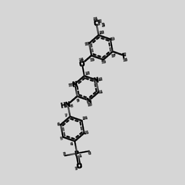 CP(C)(=O)c1ccc(Nc2ncnc(Oc3cc(F)cc(C(F)(F)F)c3)n2)cc1